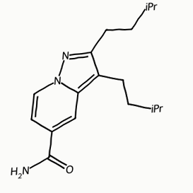 CC(C)CCc1nn2ccc(C(N)=O)cc2c1CCC(C)C